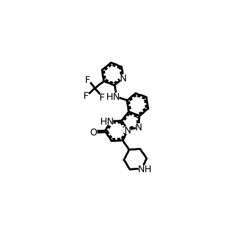 O=c1cc(C2CCNCC2)n2nc3cccc(Nc4ncccc4C(F)(F)F)c3c2[nH]1